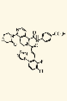 O=C(O)c1ccc(NC(=O)C2c3ccnc(N4CCOCC4=O)c3CCN2C(=O)C=Cc2c(-n3cnnn3)ccc(Cl)c2F)cc1